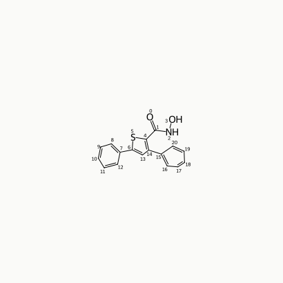 O=C(NO)c1sc(-c2ccccc2)cc1-c1ccccc1